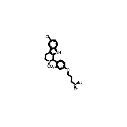 CCOC(=O)N1CCc2c([nH]c3ccc(Cl)cc23)C1c1ccc(OCCCN(CC)CC)cc1